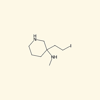 CNC1(CCI)CCCNC1